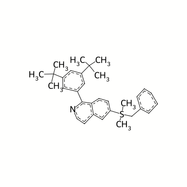 CC(C)(C)c1cc(-c2nccc3cc(S(C)(C)Cc4ccccc4)ccc23)cc(C(C)(C)C)c1